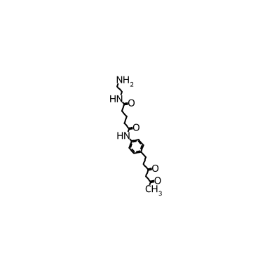 CC(=O)CC(=O)CCc1ccc(NC(=O)CCCC(=O)NCCN)cc1